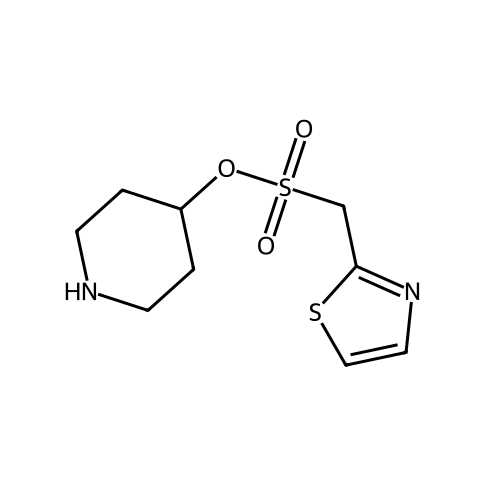 O=S(=O)(Cc1nccs1)OC1CCNCC1